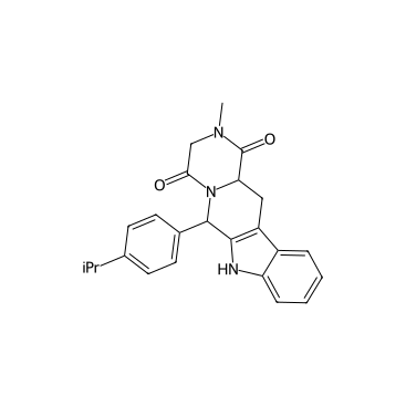 CC(C)c1ccc(C2c3[nH]c4ccccc4c3CC3C(=O)N(C)CC(=O)N32)cc1